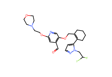 O=Cc1cc(OCCN2CCOCC2)ncc1OCC1=C(c2ccnn2CC(F)F)CCCC1